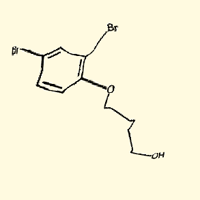 OCCCOc1ccc(Br)cc1Br